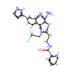 Nc1nc2cc(-c3cc[nH]n3)ccc2c2c1nc(CCNC(=O)c1ccccn1)n2CC(F)F